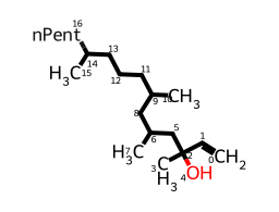 C=CC(C)(O)CC(C)CC(C)CCCC(C)CCCCC